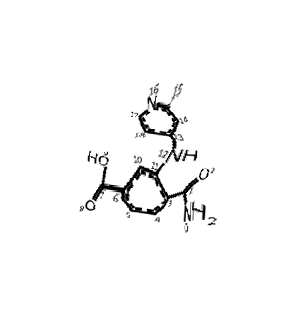 NC(=O)c1ccc(C(=O)O)cc1Nc1ccncc1